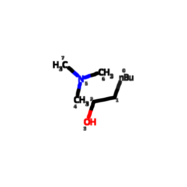 CCCCCCO.CN(C)C